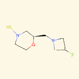 FC1CN(C[C@@H]2CN(S)CCO2)C1